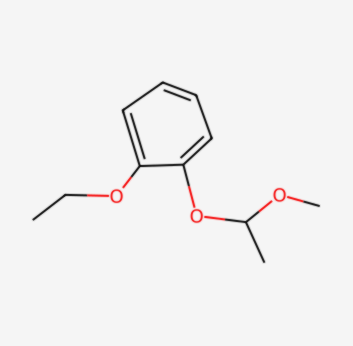 CCOc1ccccc1OC(C)OC